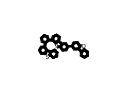 c1ccc2c(c1)oc1ccc(-c3ccc4c(c3)c3cccc5c6ccccc6c6cccc7sc8cccc(c8c76)n4c53)cc12